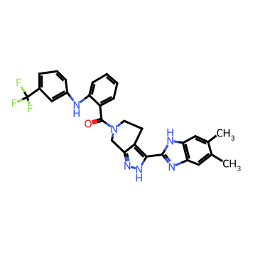 Cc1cc2nc(-c3[nH]nc4c3CCN(C(=O)c3ccccc3Nc3cccc(C(F)(F)F)c3)C4)[nH]c2cc1C